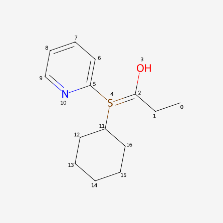 CCC(O)=S(c1ccccn1)C1CCCCC1